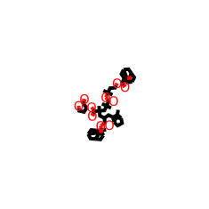 CC1C2CCC(C2)C1CC(CC(C)(CC(C)(C)C(=O)OC(C)(C)CCOC(=O)C12CC3CC(CC(C3)C1)C2)C(=O)OC1CCOC1=O)C(=O)OC1(C)C2CC3CC(C2)CC1C3